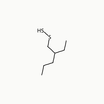 CCCC(CC)CSS